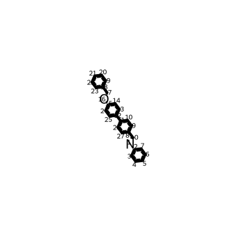 C(=N\c1ccccc1)/c1ccc(-c2ccc(OCc3ccccc3)cc2)cc1